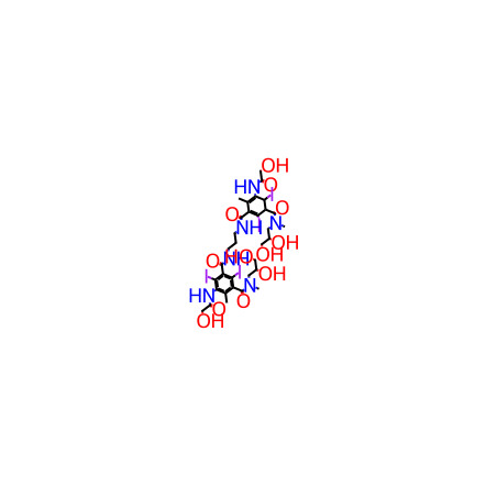 CC1=C(NC(=O)CO)C(I)C(C(=O)N(C)CC(O)CO)C(I)=C1C(=O)NCCCNC(=O)c1c(I)c(NC(=O)CO)c(C)c(C(=O)N(C)CC(O)CO)c1I